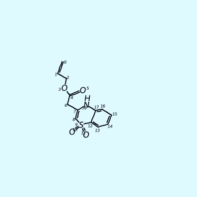 C=CCOC(=O)CC1=CS(=O)(=O)c2ccccc2N1